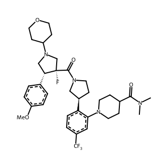 COc1ccc([C@@H]2CN(C3CCOCC3)C[C@@]2(F)C(=O)N2CC[C@@H](c3ccc(C(F)(F)F)cc3N3CCC(C(=O)N(C)C)CC3)C2)cc1